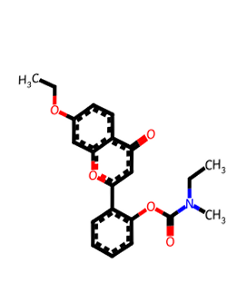 CCOc1ccc2c(=O)cc(-c3ccccc3OC(=O)N(C)CC)oc2c1